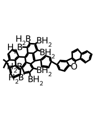 Bc1c(B)c(B)c2c(-c3cccc4c3-c3ccccc3C4(C)C)c3c(B)c(B)c(B)c(B)c3c(-c3ccc(-c4ccc5oc6c7ccccc7ccc6c5c4)cc3)c2c1B